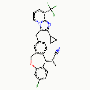 C/C(C#N)=C1/c2ccc(Cc3c(C4CC4)nc4c(C(F)(F)F)cccn34)cc2COc2cc(F)ccc21